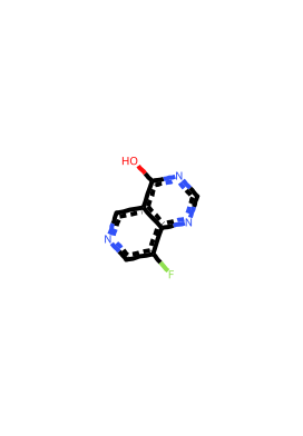 Oc1ncnc2c(F)cncc12